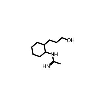 CC(=N)NC1CCCCC1CCCO